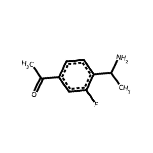 CC(=O)c1ccc(C(C)N)c(F)c1